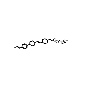 [CH2+][CH-]COOCCC1CCC(C=CC2CCC(c3ccc(C=CC)cc3)CC2)CC1